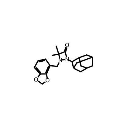 CC1(C)C(=O)N(C2C3CC4CC(C3)CC2C4)N1Cc1cccc2c1OCO2